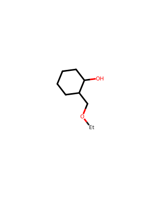 CCOCC1CCCCC1O